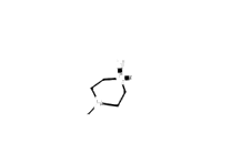 N=S1(=O)CCN(I)CC1